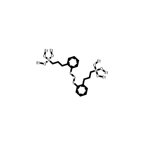 CCO[Si](CCCc1ccccc1SSSc1ccccc1CCC[Si](OCC)(OCC)OCC)(OCC)OCC